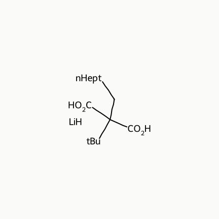 CCCCCCCCC(C(=O)O)(C(=O)O)C(C)(C)C.[LiH]